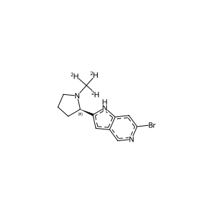 [2H]C([2H])([2H])N1CCC[C@@H]1c1cc2cnc(Br)cc2[nH]1